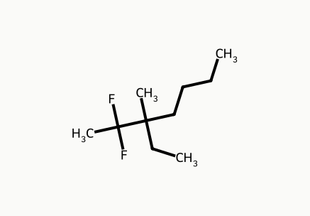 CCCCC(C)(CC)C(C)(F)F